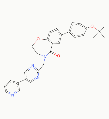 CC(C)(C)Oc1ccc(-c2ccc3c(c2)C(=O)N(Cc2ncc(-c4cccnc4)cn2)CCO3)cc1